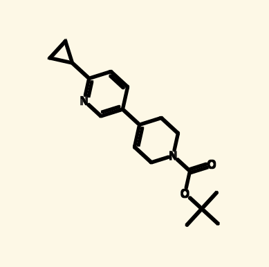 CC(C)(C)OC(=O)N1CC=C(c2ccc(C3CC3)nc2)CC1